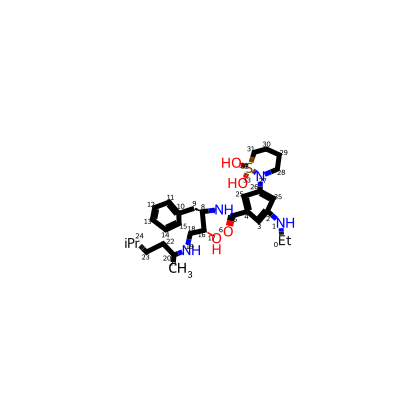 CCNc1cc(C(=O)N[C@@H](Cc2ccccc2)[C@H](O)CNC(C)CCC(C)C)cc(N2CCCCS2(O)O)c1